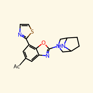 CC(=O)c1cc(-c2nccs2)c2oc(N3CC4CCC(C3)N4)nc2c1